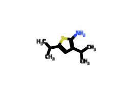 CC(C)c1cc(C(C)C)c(N)s1